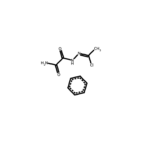 CC(Cl)=NNC(=O)C(N)=O.c1ccccc1